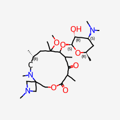 COC1(C)C[C@@H](C)CN(C)C2(COC(=O)C(C)C(=O)C(C)C1O[C@@H]1O[C@H](C)C[C@H](N(C)C)[C@H]1O)CN(C)C2